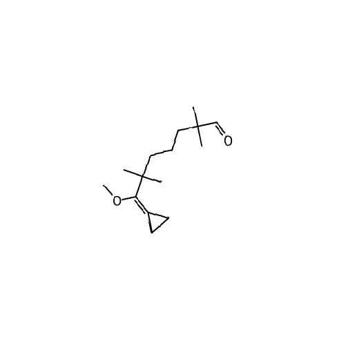 COC(=C1CC1)C(C)(C)CCCC(C)(C)C=O